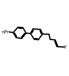 CCCc1ccc(-c2ccc(CCC=CF)cc2)cc1